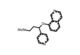 CNCCC(Oc1cccc2ccncc12)c1ccncc1